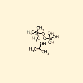 CC(C)O.C[Si](C)(C)OO[Si](O)(O)O